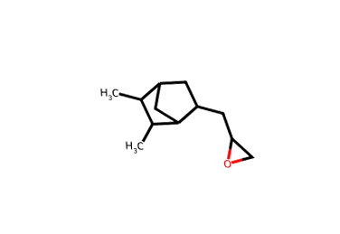 CC1C2CC(CC3CO3)C(C2)C1C